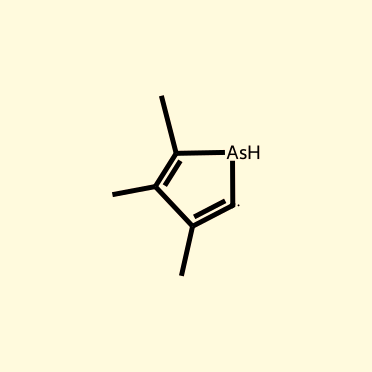 CC1=[C][AsH]C(C)=C1C